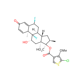 COc1c(C(=O)O[C@]2(C(=O)O)[C@H](C)C[C@H]3[C@@H]4C[C@H](F)C5=CC(=O)C=C[C@]5(C)[C@@]4(F)[C@@H](O)C[C@@]32C)csc1Cl